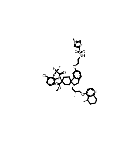 COC(=O)C1(N(C(=O)C(F)(F)F)c2cccc(Cl)c2)CCC2(CC1)c1cc(OCCNS(=O)(=O)c3cn(C)cn3)ccc1C[C@@H]2C[C@@H](C)COc1ccnc2c1[C@H](C)CCC2